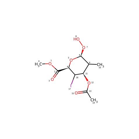 COC(=O)[C@H]1O[C@@H](OO)C(C)[C@@H](OC(C)=O)C1I